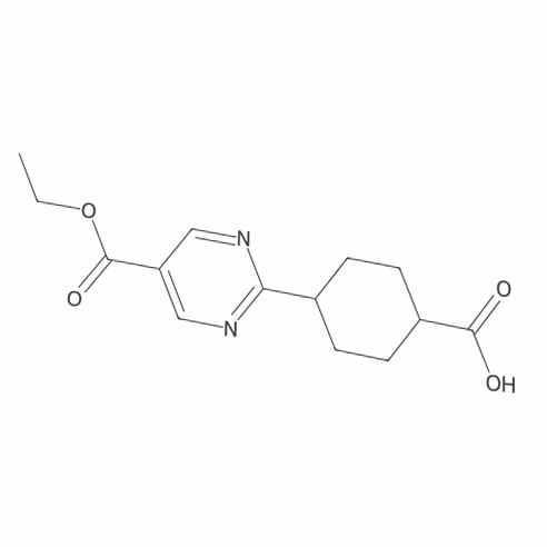 CCOC(=O)c1cnc(C2CCC(C(=O)O)CC2)nc1